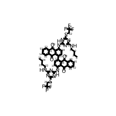 CCCCNc1nc(Nc2ccc(-c3ccc(Nc4nc(NCCCC)nc(SCC(F)(F)F)n4)c4c3C(=O)c3ccccc3C4=O)c3c2C(=O)c2ccccc2C3=O)nc(SCC(F)(F)F)n1